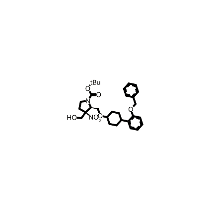 CC(C)(C)OC(=O)N1CC[C@](CO)([N+](=O)[O-])[C@@H]1COC1CCC(c2ccccc2OCc2ccccc2)CC1